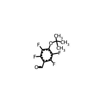 CC(C)(C)Oc1c(F)c(F)c(C=O)c(F)c1F